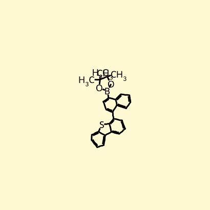 CC1(C)OB(c2ccc(-c3cccc4c3sc3ccccc34)c3ccccc23)OC1(C)C